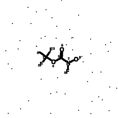 CC(F)(F)OC(=O)N([O])F